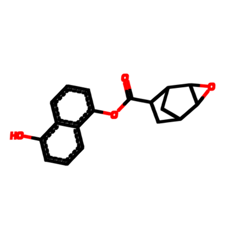 O=C(Oc1cccc2c(O)cccc12)C1CC2CC1C1OC21